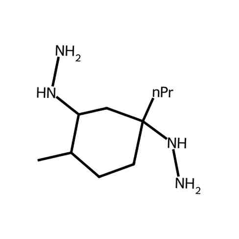 CCCC1(NN)CCC(C)C(NN)C1